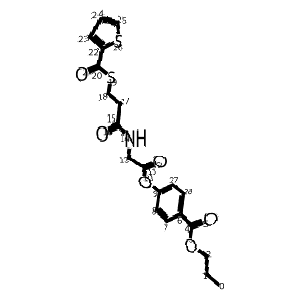 CCCOC(=O)c1ccc(OC(=O)CNC(=O)CCSC(=O)c2cccs2)cc1